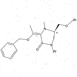 C/C(OCc1ccccc1)=C1/C(=O)N(C(C)C)C[C@H](COC(C)C)N1C